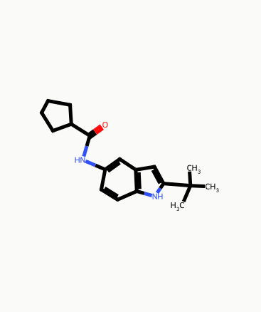 CC(C)(C)c1cc2cc(NC(=O)C3CCCC3)ccc2[nH]1